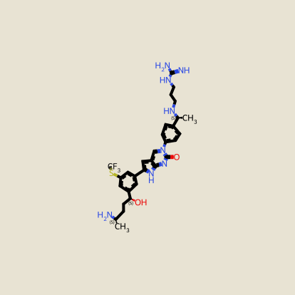 C[C@H](N)CC[C@H](O)c1cc(SC(F)(F)F)cc(-c2cc3cn(-c4ccc([C@H](C)NCCCNC(=N)N)cc4)c(=O)nc3[nH]2)c1